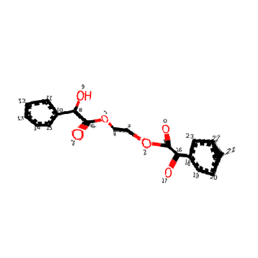 O=C(OCCOC(=O)C(O)c1ccccc1)C(=O)c1ccccc1